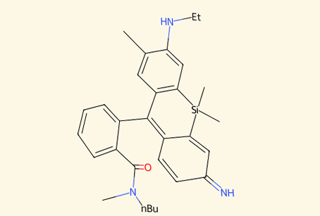 CCCCN(C)C(=O)c1ccccc1C1=C2C=CC(=N)C=C2[Si](C)(C)c2cc(NCC)c(C)cc21